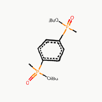 CC(C)COP(C)(=O)c1ccc(P(C)(=O)OCC(C)C)cc1